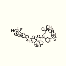 CN(C)C(=O)CCN(C(=O)C1CCCN1C(=O)C(NC(=O)c1cc2cc(C(F)(F)P(=O)(O)O)ccc2s1)C(C)(C)C)c1cccc(-c2nccs2)c1